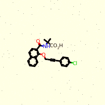 CC(C)(NC(=O)c1ccc2ccccc2c1OCC#Cc1ccc(Cl)cc1)C(=O)O